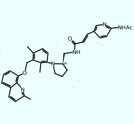 CC(=O)Nc1ccc(C=CC(=O)NC[C@H]2CCCN2c2ccc(C)c(COc3cccc4ccc(C)nc34)c2C)cn1